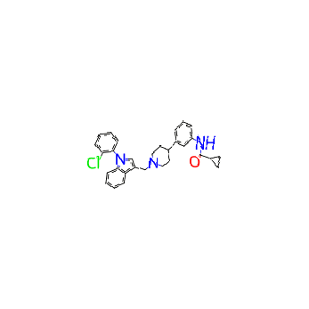 O=C(Nc1cccc(C2CCN(Cc3cn(-c4ccccc4Cl)c4ccccc34)CC2)c1)C1CC1